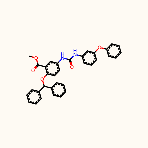 COC(=O)c1cc(NC(=O)Nc2cccc(Oc3ccccc3)c2)ccc1OC(c1ccccc1)c1ccccc1